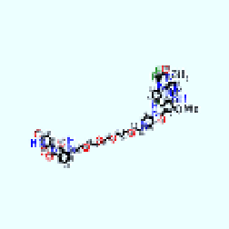 COc1cc(C(=O)NC2CCN(CCOCCCOCCOCCOCCNc3cccc4c3C(=O)N(C3CCC(=O)NC3=O)C4=O)CC2)c(F)cc1Nc1ncc2c(n1)N(C1CCCC1)CC(F)(F)C(=O)N2C